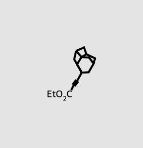 CCOC(=O)C#CC12CC3CC4CC(C1)C4(C3)C2